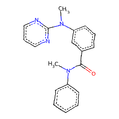 CN(C(=O)c1cccc(N(C)c2ncccn2)c1)c1ccccc1